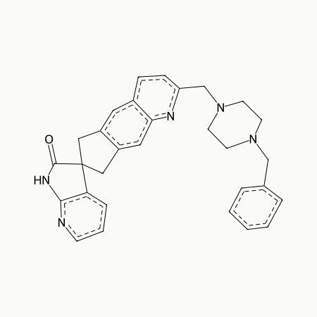 O=C1Nc2ncccc2C12Cc1cc3ccc(CN4CCN(Cc5ccccc5)CC4)nc3cc1C2